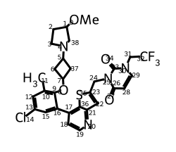 COC1CCN(C2CC(Oc3c(C)cc(Cl)cc3-c3ccnc4cc(Cn5c(=O)ccn(CC(F)(F)F)c5=O)sc34)C2)C1